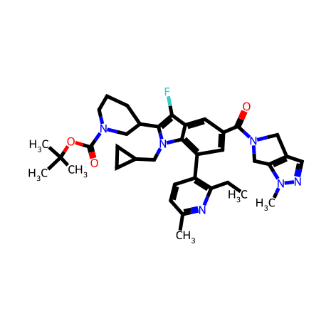 CCc1nc(C)ccc1-c1cc(C(=O)N2Cc3cnn(C)c3C2)cc2c(F)c(C3CCCN(C(=O)OC(C)(C)C)C3)n(CC3CC3)c12